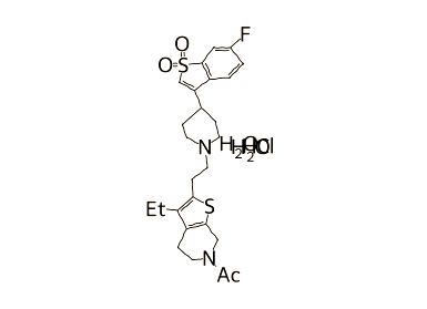 CCc1c(CCN2CCC(C3=CS(=O)(=O)c4cc(F)ccc43)CC2)sc2c1CCN(C(C)=O)C2.Cl.O.O